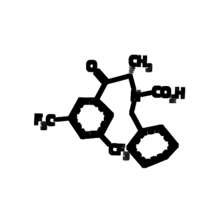 C[C@@H](C(=O)c1cc(C(F)(F)F)cc(C(F)(F)F)c1)N(Cc1ccccc1)C(=O)O